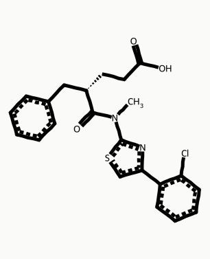 CN(C(=O)[C@@H](CCC(=O)O)Cc1ccccc1)c1nc(-c2ccccc2Cl)cs1